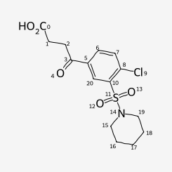 O=C(O)CCC(=O)c1ccc(Cl)c(S(=O)(=O)N2CCCCC2)c1